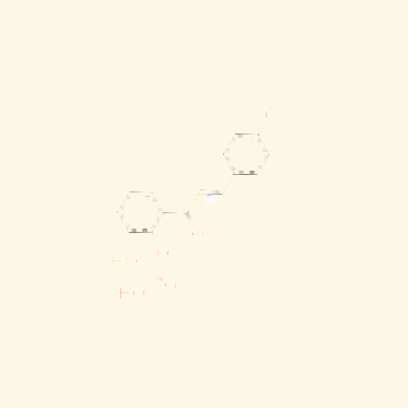 Cc1ccc(/C=C/C(=O)c2ccccc2OP(=O)(O)O)cc1